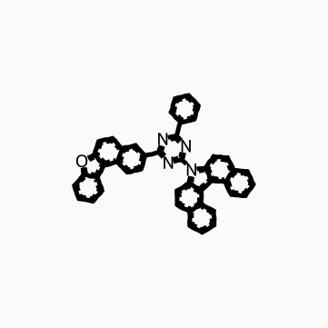 c1ccc(-c2nc(-c3ccc4c(ccc5oc6ccccc6c54)c3)nc(-n3c4ccc5ccccc5c4c4c5ccccc5ccc43)n2)cc1